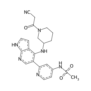 CS(=O)(=O)Nc1ccnc(-c2cnc3[nH]ccc3c2NC2CCCN(C(=O)CC#N)C2)c1